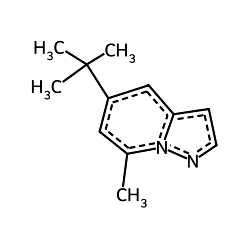 Cc1cc(C(C)(C)C)cc2ccnn12